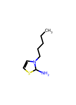 CCCCCN1C=CSC1N